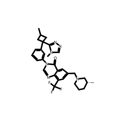 CC1CC(c2cccc(-n3cnc4c(C(F)(F)F)cc(CN5CCC[C@@H](C)C5)cc4c3=O)c2)(c2nncn2C)C1